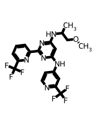 COCC(C)Nc1cc(Nc2ccnc(C(F)(F)F)c2)nc(-c2cccc(C(F)(F)F)n2)n1